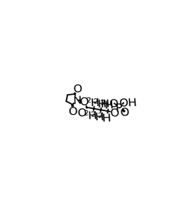 [2H]C([2H])(OP(=O)(O)O)C([2H])([2H])C([2H])([2H])C(=O)ON1C(=O)CCC1=O